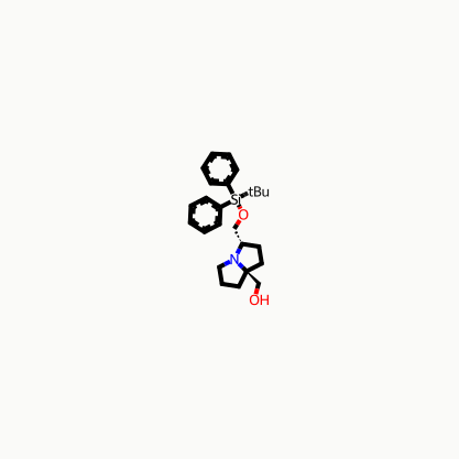 CC(C)(C)[Si](OC[C@@H]1CC[C@]2(CO)CCCN12)(c1ccccc1)c1ccccc1